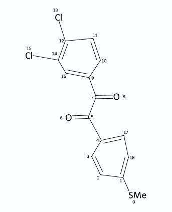 CSc1ccc(C(=O)C(=O)c2ccc(Cl)c(Cl)c2)cc1